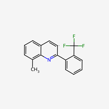 Cc1cccc2c[c]c(-c3ccccc3C(F)(F)F)nc12